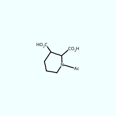 CC(=O)N1CCCC(C(=O)O)C1C(=O)O